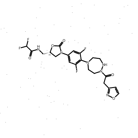 O=C(NC[C@H]1CN(c2cc(F)c(N3CCNN(C(=O)Cc4ccon4)CC3)c(F)c2)C(=O)O1)C(F)F